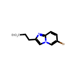 CCOC(=O)CCc1cn2cc(Br)ccc2n1